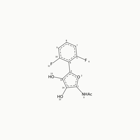 CC(=O)Nc1oc(-c2c(F)cccc2F)c(O)c1O